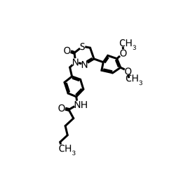 CCCCCC(=O)Nc1ccc(CN2N=C(c3ccc(OC)c(OC)c3)CSC2=O)cc1